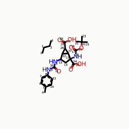 CCCC.Cc1ccc(NC(=O)NC2CC(NC(=O)OC(C)(C)C)(C(=O)O)C3C(C(=O)O)C23)cc1